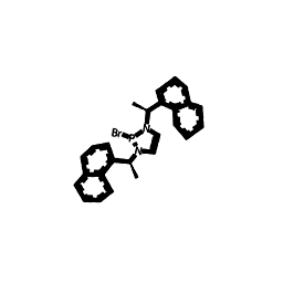 C[C@@H](c1cccc2ccccc12)N1C=CN([C@@H](C)c2cccc3ccccc23)P1Br